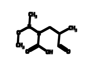 CON(C)N(CC(C)C=O)C(=O)O